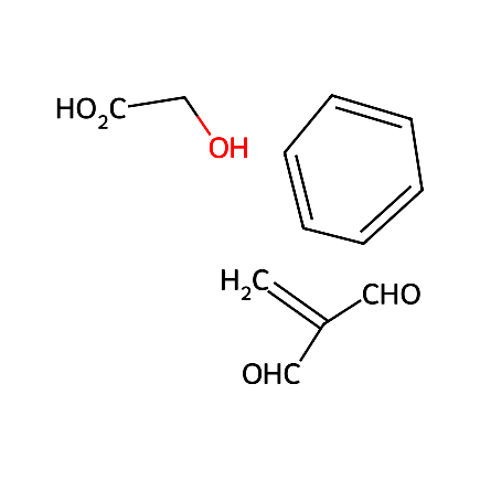 C=C(C=O)C=O.O=C(O)CO.c1ccccc1